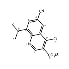 CCOC(=O)c1cnc2c(N(C)C)cc(C#N)cc2c1Cl